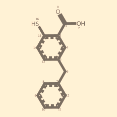 O=C(O)c1cc(Cc2ccccc2)ccc1S